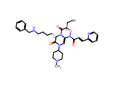 CC(C)C[C@H]1ON(C(=O)/C=C/c2ccccn2)C2=CN(C3CCN(C)CC3)C(=O)[C@H](CCCCNCc3ccccc3)N2C1=O